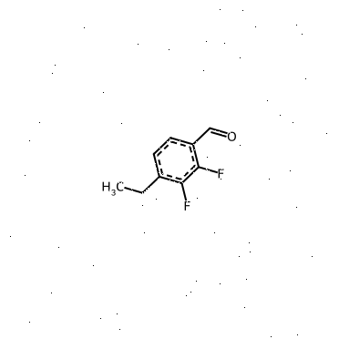 CCc1ccc(C=O)c(F)c1F